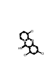 N=c1c2c(Cl)cc(Cl)cc2nc2c(Cl)cccn12